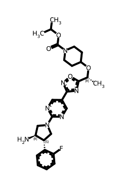 CC(C)OC(=O)N1CCC(O[C@H](C)c2nc(-c3cnc(N4C[C@H](c5ccccc5F)[C@@H](N)C4)nc3)no2)CC1